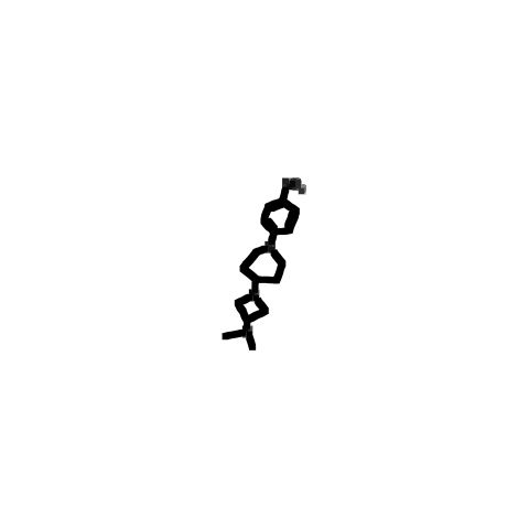 CN(C)C1CN(C2CCN(c3ccc([N+](=O)[O-])cc3)CC2)C1